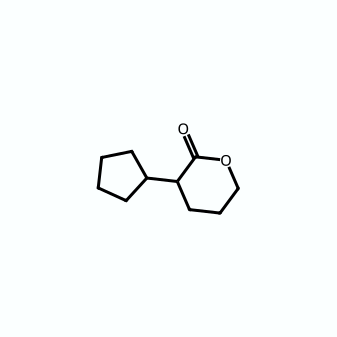 O=C1OCCCC1C1CCCC1